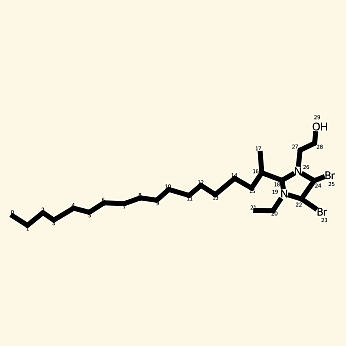 CCCCCCCCCCCCCCCCC(C)C1N(CC)C(Br)C(Br)N1CCO